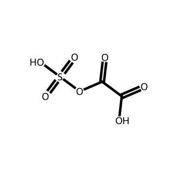 O=C(O)C(=O)OS(=O)(=O)O